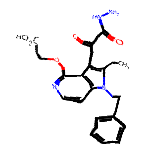 Cc1c(C(=O)C(=O)NN)c2c(OCC(=O)O)nccc2n1Cc1ccccc1